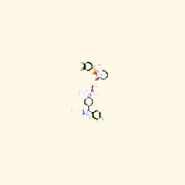 CN(C)C(c1ccc(F)cc1)C1CCC(NC(=O)COCC2CCCCN2S(=O)(=O)c2ccc(Cl)c(Cl)c2)CC1